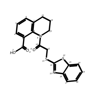 O=C(O)c1cccc2c1N(C(=O)CSc1nc3ccccc3s1)CCC2